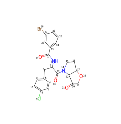 O=C(NC(Cc1ccc(Cl)cc1)C(=O)N1CCC2OCC(=O)C21)c1cccc(Br)c1